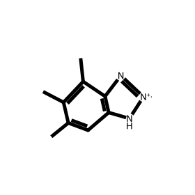 Cc1cc2c(c(C)c1C)N=[N+]N2